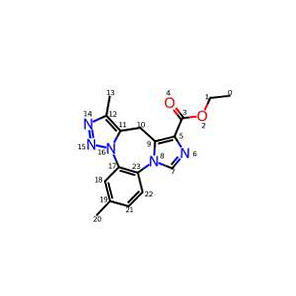 CCOC(=O)c1ncn2c1Cc1c(C)nnn1-c1cc(C)ccc1-2